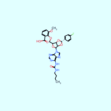 CCCCNC(=O)Nc1ncnc2c1ncn2C1OC(COc2c(OC)cccc2C(=O)O)C2O[C@H](c3ccc(F)cc3)OC21